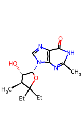 CCC1(CC)O[C@@H](n2cnc3c(=O)[nH]c(C)nc32)[C@@H](O)[C@@H]1C